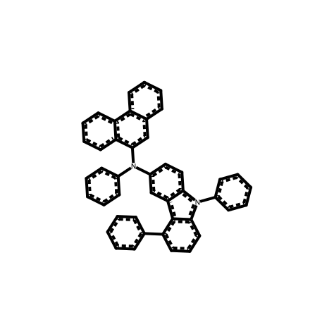 c1ccc(-c2cccc3c2c2cc(N(c4ccccc4)c4cc5ccccc5c5ccccc45)ccc2n3-c2ccccc2)cc1